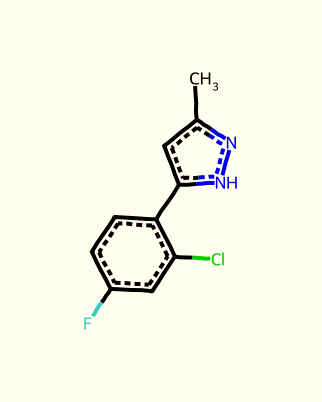 Cc1cc(-c2ccc(F)cc2Cl)[nH]n1